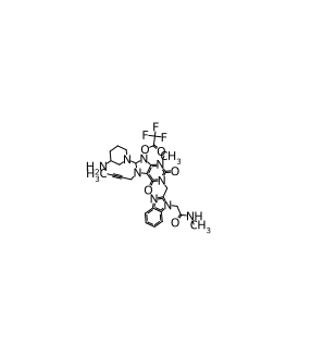 CC#CCN1c2c(n(C)c(=O)n(Cc3nc4ccccc4n3CC(=O)NC)c2=O)N(OC(=O)C(F)(F)F)C1N1CCCC(N)C1